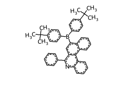 CC(C)(C)c1ccc(B(c2ccc(C(C)(C)C)cc2)c2cc3c(-c4ccccc4)nc4ccccc4c3c3ccccc23)cc1